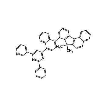 CC1(C)c2ccc3ccccc3c2-c2cccc(-c3ccc(-c4cc(-c5cccnc5)nc(-c5ccccc5)n4)c4ccccc34)c21